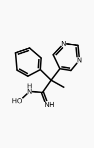 CC(C(=N)NO)(c1ccccc1)c1cncnc1